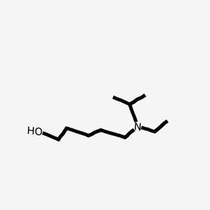 CCN(CCCCCO)C(C)C